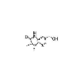 Cc1c(F)c2ncc(CO)cc2[nH]c1=O